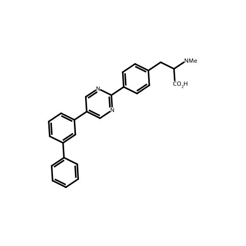 CNC(Cc1ccc(-c2ncc(-c3cccc(-c4ccccc4)c3)cn2)cc1)C(=O)O